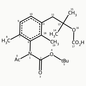 CC(=O)N(C(=O)OC(C)(C)C)c1c(C)ccc(CC(C)(C)OC(=O)O)c1C